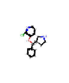 Clc1ncccc1O[C@H](c1ccccc1)[C@@H]1CCNC1